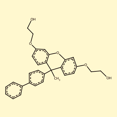 CC1(c2ccc(-c3ccccc3)cc2)c2ccc(OCCO)cc2Oc2cc(OCCO)ccc21